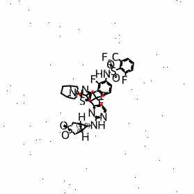 O=S1(=O)C[C@@H]2[C@H](C1)[C@H]2Nc1nccc(-c2sc(N3C4CCC3CN(C3CC(F)(F)C3)C4)nc2-c2cccc(NS(=O)(=O)c3c(F)cccc3C(F)(F)F)c2F)n1